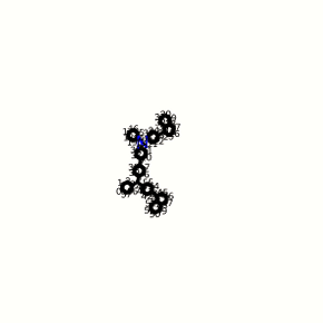 c1ccc(C(c2ccc(-c3ccc(N(c4ccccc4)c4ccc(-c5cccc6ccccc56)cc4)cc3)cc2)c2ccc(-c3cccc4ccccc34)cc2)cc1